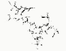 CC(C)COc1cc(-c2cc3c4nc(CC(C)C)c(CC(C)C)nc4c4cc(C(C)(C)C)sc4c3s2)sc1-c1sc(C(C)(C)C)cc1C#N